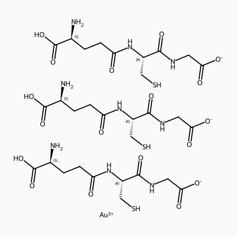 N[C@@H](CCC(=O)N[C@@H](CS)C(=O)NCC(=O)[O-])C(=O)O.N[C@@H](CCC(=O)N[C@@H](CS)C(=O)NCC(=O)[O-])C(=O)O.N[C@@H](CCC(=O)N[C@@H](CS)C(=O)NCC(=O)[O-])C(=O)O.[Au+3]